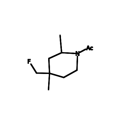 CC(=O)N1CCC(C)(CF)CC1C